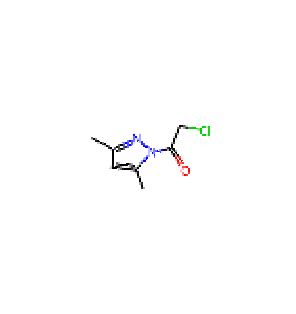 Cc1cc(C)n(C(=O)CCl)n1